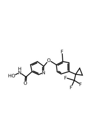 O=C(NO)c1ccc(Oc2ccc(C3(C(F)(F)F)CC3)cc2F)nc1